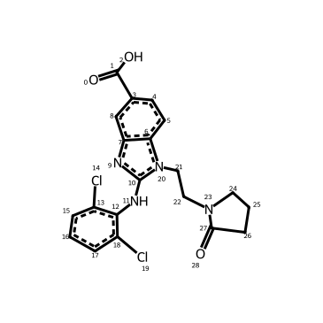 O=C(O)c1ccc2c(c1)nc(Nc1c(Cl)cccc1Cl)n2CCN1CCCC1=O